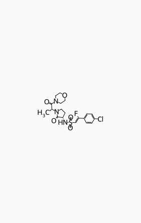 C[C@@H](C(=O)N1CCOCC1)N1CC[C@H](NS(=O)(=O)C=C(F)c2ccc(Cl)cc2)C1=O